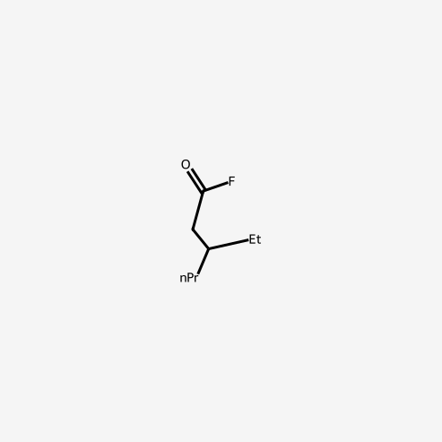 CCCC(CC)CC(=O)F